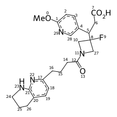 COc1ccc(C(CC(=O)O)C2(F)CN(C(=O)CCCc3ccc4c(n3)NCCC4)C2)cn1